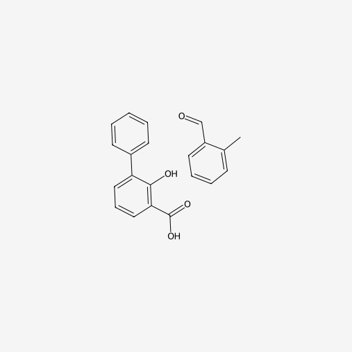 Cc1ccccc1C=O.O=C(O)c1cccc(-c2ccccc2)c1O